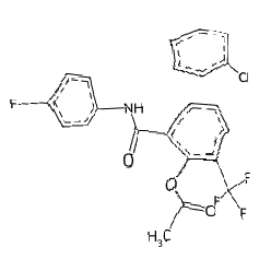 CC(=O)Oc1c(C(=O)Nc2ccc(F)cc2)cccc1C(F)(F)F.Clc1ccccc1